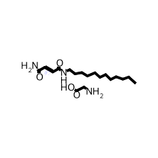 CCCCCCCCCCCCNC(=O)/C=C/C(N)=O.NCC(=O)O